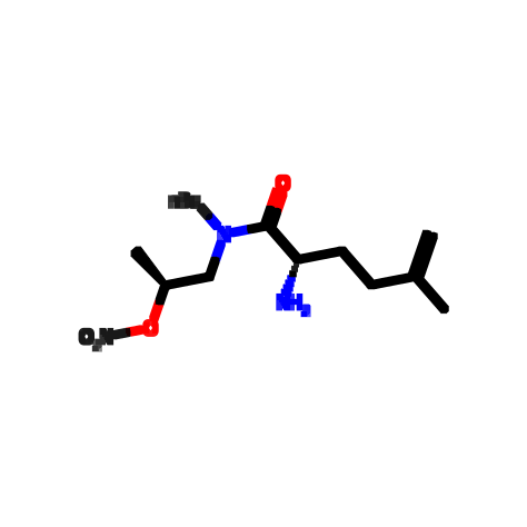 C=C(C)CC[C@H](N)C(=O)N(CCCC)C[C@H](C)O[N+](=O)[O-]